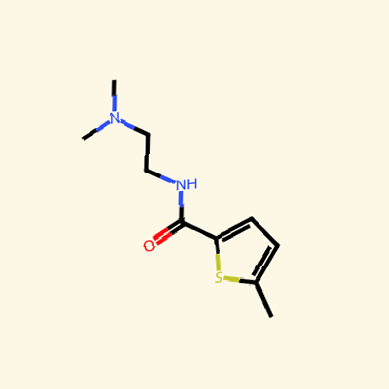 Cc1ccc(C(=O)NCCN(C)C)s1